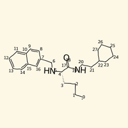 [CH2]CCC[C@H](NCc1ccc2ccccc2c1)C(=O)NCCC1CCCCC1